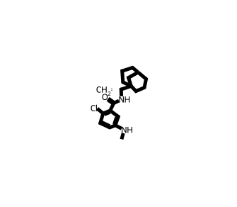 CNc1ccc(Cl)c(C(=O)NCC23CCCC(CCC2)C3)c1.[CH2]